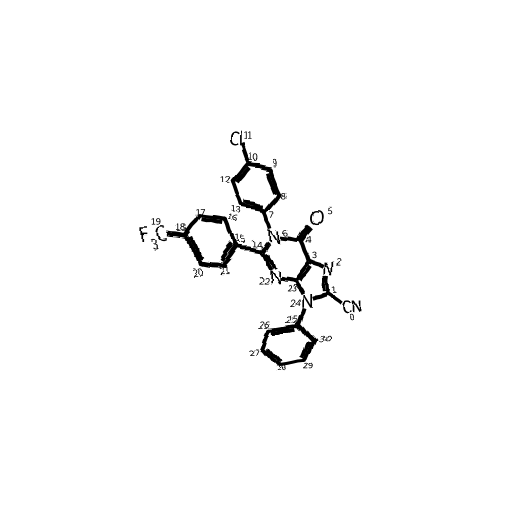 N#Cc1nc2c(=O)n(-c3ccc(Cl)cc3)c(-c3ccc(C(F)(F)F)cc3)nc2n1-c1ccccc1